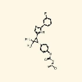 CC1(C)[C@@H](c2ccc(OC(=O)N=S(=O)=O)cc2)[C@@H]1c1cnc(-c2cccc(F)c2)[nH]1